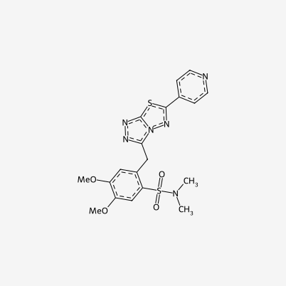 COc1cc(Cc2nnc3sc(-c4ccncc4)nn23)c(S(=O)(=O)N(C)C)cc1OC